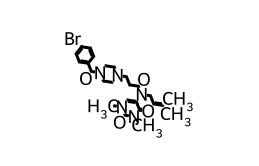 CC(C)=CCN(C(=O)CCN1CCN(C(=O)c2ccc(Br)cc2)CC1)c1cn(C)c(=O)n(C)c1=O